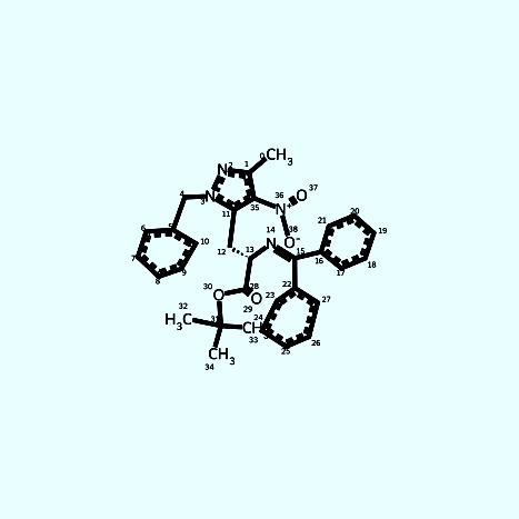 Cc1nn(Cc2ccccc2)c(C[C@H](N=C(c2ccccc2)c2ccccc2)C(=O)OC(C)(C)C)c1[N+](=O)[O-]